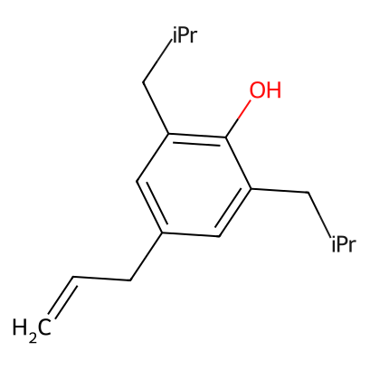 C=CCc1cc(CC(C)C)c(O)c(CC(C)C)c1